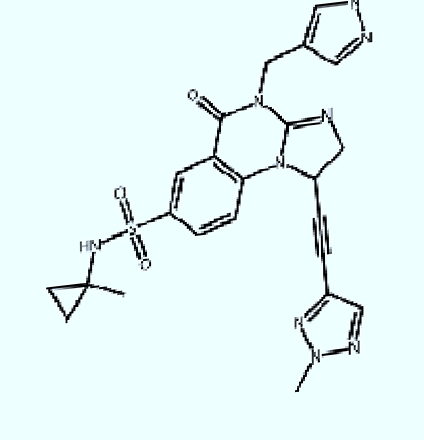 Cn1cc(CN2C(=O)c3cc(S(=O)(=O)NC4(C)CC4)ccc3N3C2=NCC3C#Cc2cnn(C)n2)cn1